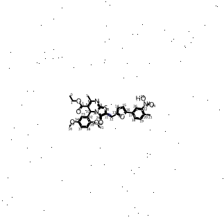 CCOC(=O)C1=C(C)N=c2s/c(=C\c3ccc(-c4ccc(C)c([N+](=O)O)c4)o3)c(=O)n2C1c1cc(OC)ccc1OC